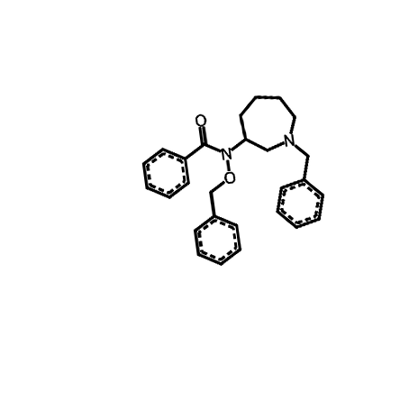 O=C(c1ccccc1)N(OCc1ccccc1)C1CCCCN(Cc2ccccc2)C1